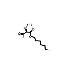 CCCCCCCOC(=O)/C(=N\O)C(C)=O